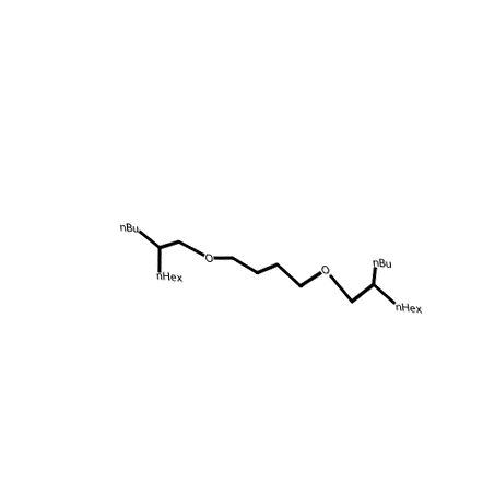 CCCCCCC(CCCC)COCCCCOCC(CCCC)CCCCCC